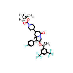 C[C@@H](O[C@H]1CN2C(=O)CC(C3CCN(C(=O)OC(C)(C)C)CC3)C[C@H]2[C@@H]1c1ccc(F)cc1)c1cc(C(F)(F)F)cc(C(F)(F)F)c1